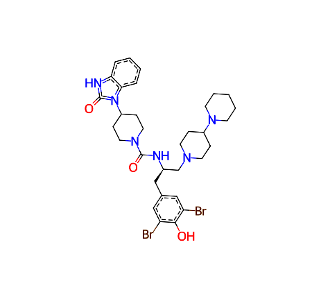 O=C(N[C@H](Cc1cc(Br)c(O)c(Br)c1)CN1CCC(N2CCCCC2)CC1)N1CCC(n2c(=O)[nH]c3ccccc32)CC1